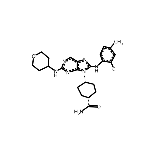 Cc1ccc(Nc2nc3cnc(NC4CCOCC4)nc3n2[C@H]2CC[C@@H](C(N)=O)CC2)c(Cl)c1